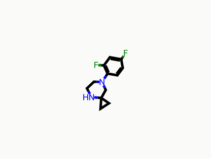 Fc1ccc(N2CCNC3(CC3)C2)c(F)c1